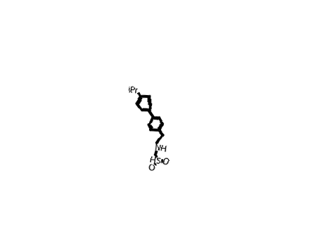 [CH2]C(C)c1ccc(-c2ccc(CCNC[SH](=O)=O)cc2)cc1